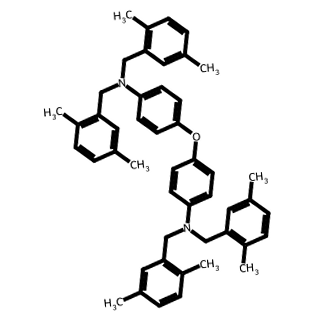 Cc1ccc(C)c(CN(Cc2cc(C)ccc2C)c2ccc(Oc3ccc(N(Cc4cc(C)ccc4C)Cc4cc(C)ccc4C)cc3)cc2)c1